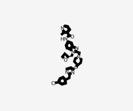 Cc1ncccc1C(=O)Nc1ccc2c(c1)nc(CN1CCC(Oc3ccnc(Cc4ccc(Cl)cc4)n3)CC1)n2C[C@@H]1CCO1